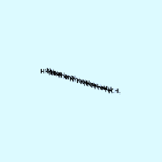 C=NN=NN=NN=NN=NN=NN=NN=NN=NN=NN=NN=NN=NN=NN=NN=NN=NN=NN=N